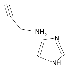 C#CCN.c1c[nH]cn1